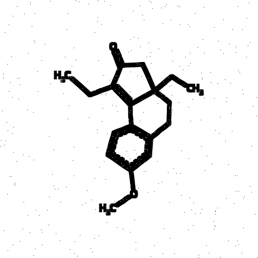 CCC1=C2c3ccc(OC)cc3CCC2(CC)CC1=O